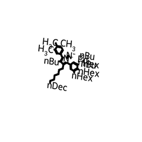 CCCCCCCCCCCCCCCCC1=C(c2cc(CCCCCC)c(CCCCCC)c(CCCCCC)c2)[N+](=[N-])C(c2cc(C)c(C)c(C)c2)=C1CCCC.CCC[CH2][Pd][CH2]CCC